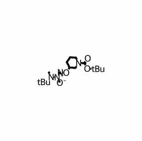 CN(/[N+]([O-])=N/OC1CCCN(C(=O)OC(C)(C)C)C1)C(C)(C)C